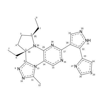 CC[C@@H]1CC[C@@]2(CC)c3nnc(C)n3-c3cnc(-c4cn[nH]c4-c4cscn4)nc3N12